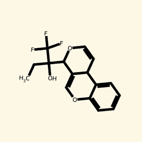 CCC(O)(C1OC=CC2C1=COc1ccccc12)C(F)(F)F